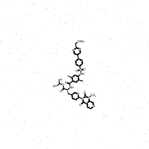 CCCC(CCC)OC(=O)[C@H](Cc1ccc(-n2c(=O)c3ccncc3n(C)c2=O)nc1)NC(=O)c1cc(F)c(NS(=O)(=O)c2ccc(-c3cnc(COC)nc3)cc2)cc1F